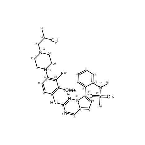 COc1c(Nc2ncc3ccc(-c4ccccc4N(C)S(C)(=O)=O)n3n2)ccc(N2CCN(CC(C)O)CC2)c1F